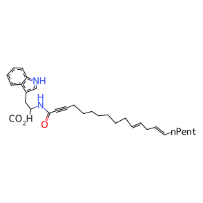 CCCCCC=CCC=CCCCCCCCC#CC(=O)NC(Cc1c[nH]c2ccccc12)C(=O)O